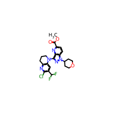 COC(=O)c1ccc2c(n1)c(N1CCCc3nc(Cl)c(C(F)F)cc31)nn2C1CCOCC1